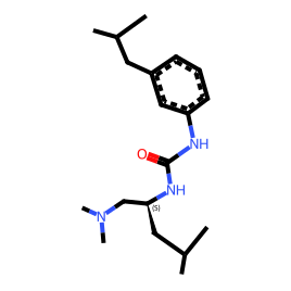 CC(C)Cc1cccc(NC(=O)N[C@@H](CC(C)C)CN(C)C)c1